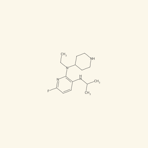 CCN(c1nc(F)ccc1NC(C)C)C1CCNCC1